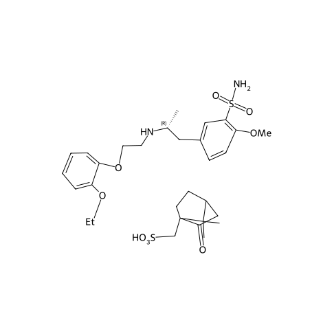 CC1(C)C2CCC1(CS(=O)(=O)O)C(=O)C2.CCOc1ccccc1OCCN[C@H](C)Cc1ccc(OC)c(S(N)(=O)=O)c1